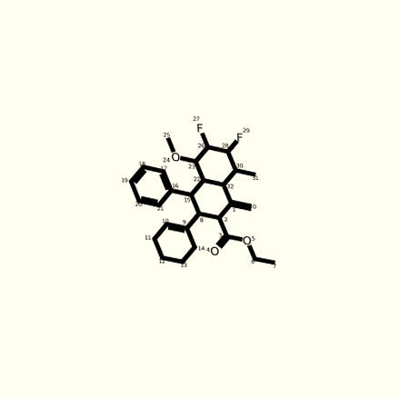 C=C1C(C(=O)OCC)C(C2=CCCCC2)C(c2ccccc2)C2C(OC)C(F)C(F)C(C)C12